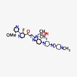 COc1ccncc1-c1nccc(C(=O)/C=C/c2nc3ccc(N4CCC(N5CC6(CCN(C)CC6)C5)CC4)cc3n2CC(C)(C)O)c1F